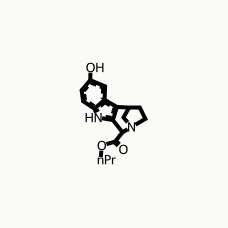 CCCOC(=O)C1c2[nH]c3ccc(O)cc3c2C2CCN1C2